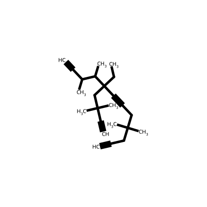 C#CCC(C)(C)CC#CC(CC)(CC(C)(C)C#C)C(C)C(C)C#C